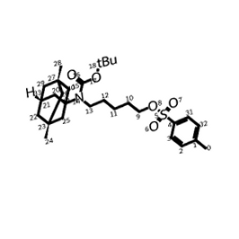 Cc1ccc(S(=O)(=O)OCCCCCN(C(=O)OC(C)(C)C)C23C[C@@H]4C[C@@](C)(C2)C[C@](C)(C4)C3)cc1